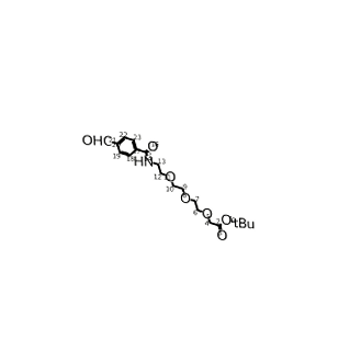 CC(C)(C)OC(=O)COCCOCCOCCNC(=O)c1ccc(C=O)cc1